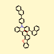 c1ccc(N(c2ccc(-c3ccc4ccccc4c3)cc2)c2ccc(-c3cccc4ccccc34)cc2)c(-c2ccc3ccc4c5ccccc5oc4c3c2)c1